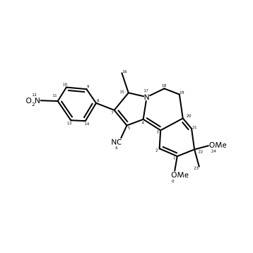 COC1=CC2=C3C(C#N)=C(c4ccc([N+](=O)[O-])cc4)C(C)N3CCC2=CC1(C)OC